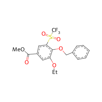 CCOc1cc(C(=O)OC)cc(S(=O)(=O)C(F)(F)F)c1OCc1ccccc1